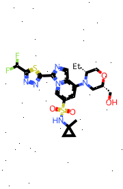 CC[C@@H]1CO[C@H](CO)CN1c1cc(S(=O)(=O)NC2(C)CC2)cn2c(-c3nnc(C(F)F)s3)ncc12